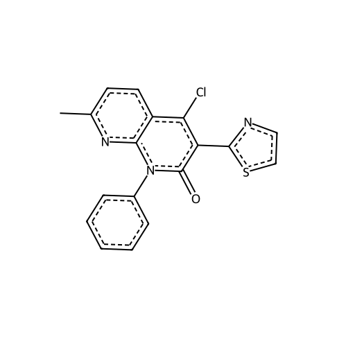 Cc1ccc2c(Cl)c(-c3nccs3)c(=O)n(-c3ccccc3)c2n1